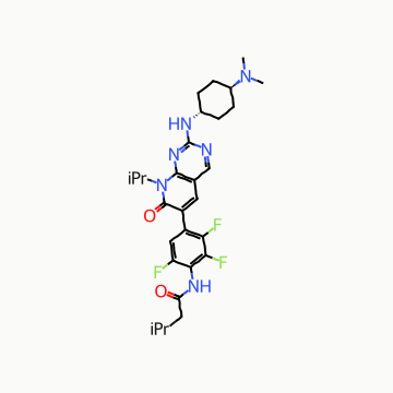 CC(C)CC(=O)Nc1c(F)cc(-c2cc3cnc(N[C@H]4CC[C@H](N(C)C)CC4)nc3n(C(C)C)c2=O)c(F)c1F